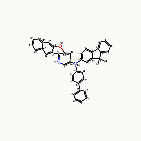 CC1(C)c2ccccc2-c2ccc(N(c3ccc(-c4ccccc4)cc3)c3cnc4c(c3)oc3cc5ccccc5cc34)cc21